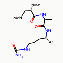 CNC[C@H](NC)C(=O)N[C@@H](C)C(=O)N[C@@H](CCCNC(N)=O)C(C)=O